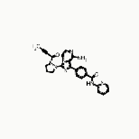 CC#CC(=O)N1CCCN1c1nc(-c2ccc(C(=O)Nc3ccccn3)cc2)c2c(N)nccn12